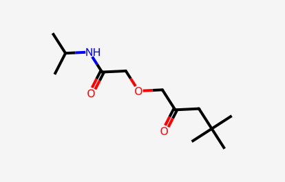 CC(C)NC(=O)COCC(=O)CC(C)(C)C